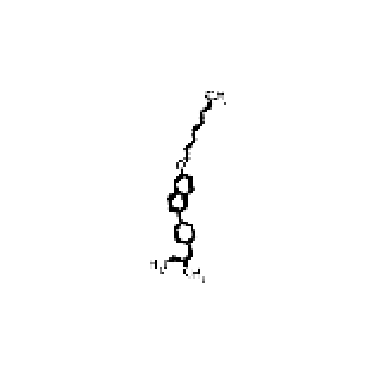 CCCCCCCCOc1ccc2cc(C3CCC(CC(C)CC)CC3)ccc2c1